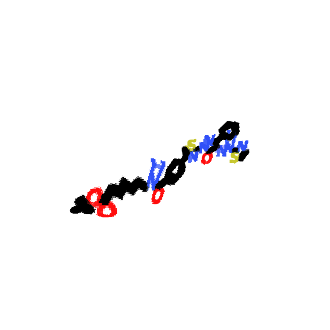 CC(C)(C)OC(=O)CCCCCCNC(=O)c1ccc(-c2csc(N3N=C(c4ccccc4)/C(=N\Nc4nccs4)C3=O)n2)cc1